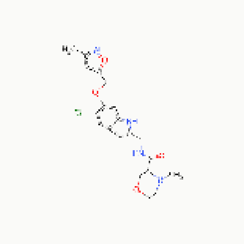 Cc1cc(COc2cc3[nH]c(CNC(=O)C4COCCN4C)cc3cc2Cl)on1